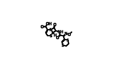 CON=C(C(=O)NC1C(=O)N2C(C(=O)O)=CCS[C@@H]12)C1=CSCCS1